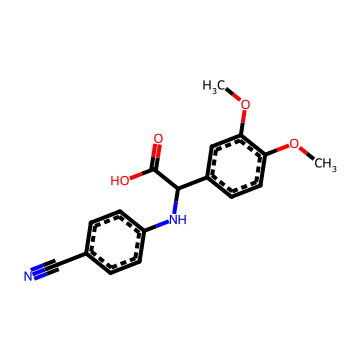 COc1ccc(C(Nc2ccc(C#N)cc2)C(=O)O)cc1OC